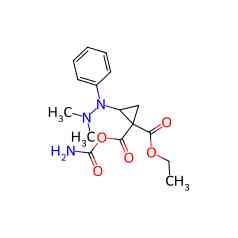 CCOC(=O)C1(C(=O)OC(N)=O)CC1N(c1ccccc1)N(C)C